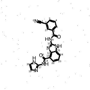 N#Cc1cccc(C(=O)Nc2nc3c(C(=O)Nc4ncc[nH]4)cccc3[nH]2)c1